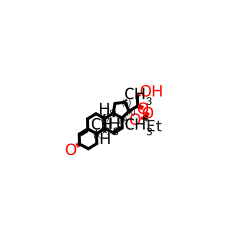 CCC(=O)O[C@]1(C(=O)CO)[C@@H](C)C[C@H]2[C@@H]3CCC4=CC(=O)CC[C@]4(C)[C@H]3C=C[C@@]21C